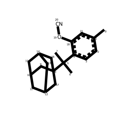 Cc1ccc(C(C)(C)C23CC4CC(CC(C4)C2)C3)c(OC#N)c1